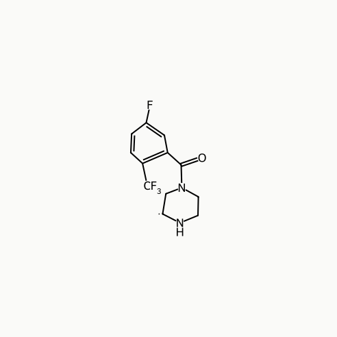 O=C(c1cc(F)ccc1C(F)(F)F)N1C[CH]NCC1